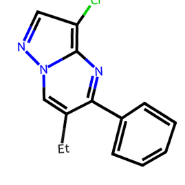 CCc1cn2ncc(Cl)c2nc1-c1ccccc1